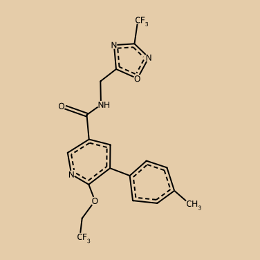 Cc1ccc(-c2cc(C(=O)NCc3nc(C(F)(F)F)no3)cnc2OCC(F)(F)F)cc1